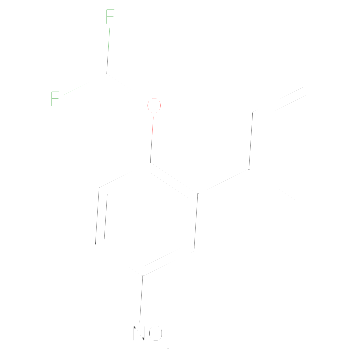 C=C[C](C)c1cc([N+](=O)[O-])ccc1OC(F)F